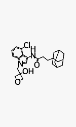 O=C(CCC12CC3CC(CC(C3)C1)C2)Nc1cn(CC2(O)COC2)c2cccc(Cl)c12